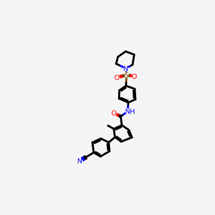 Cc1c(C(=O)Nc2ccc(S(=O)(=O)N3CCCCC3)cc2)cccc1-c1ccc(C#N)cc1